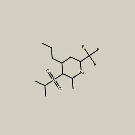 CCCC1CC(C(F)(F)F)NC(C)C1S(=O)(=O)C(C)C